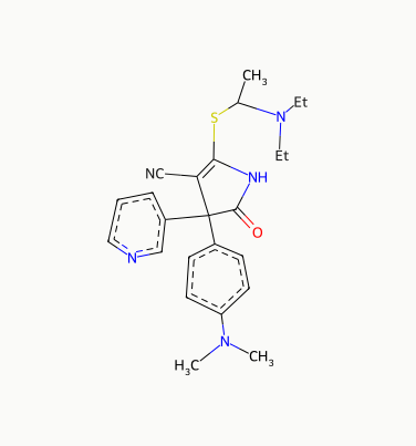 CCN(CC)C(C)SC1=C(C#N)C(c2ccc(N(C)C)cc2)(c2cccnc2)C(=O)N1